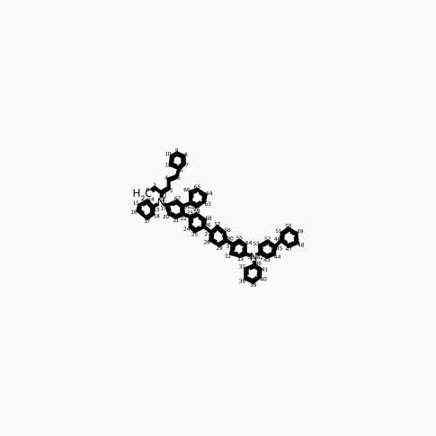 C=C/C(=C\C=C\c1ccccc1)N(c1ccccc1)c1ccc(-c2ccc(-c3ccc(-c4ccc(N(c5ccccc5)c5ccc(-c6ccccc6)cc5)cc4)cc3)cc2)c(-c2ccccc2)c1